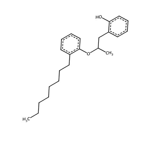 CCCCCCCCc1ccccc1OC(C)Cc1ccccc1O